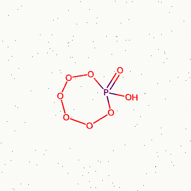 O=P1(O)OOOOOO1